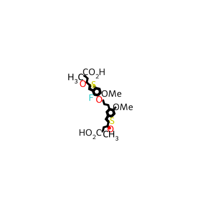 COc1cc2sc(C(=O)CC(C)C(=O)O)cc2cc1CCCOc1c(OC)cc2sc(C(=O)CC(C)C(=O)O)cc2c1F